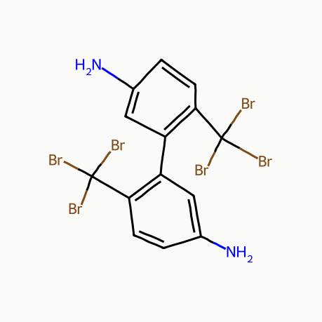 Nc1ccc(C(Br)(Br)Br)c(-c2cc(N)ccc2C(Br)(Br)Br)c1